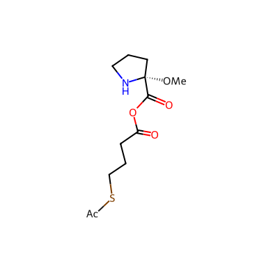 CO[C@@]1(C(=O)OC(=O)CCCSC(C)=O)CCCN1